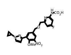 COc1c(-c2ccn(C3CC3)n2)cc(COCc2cc(F)cc(NC(=O)O)n2)cc1[N+](=O)[O-]